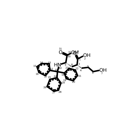 O=C(O)[C@H](CCCO)C[C@H](NC(c1ccccc1)(c1ccccc1)c1ccccc1)C(=O)O